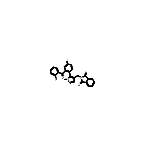 Cn1ncc(CN2C(=O)c3ccccc3C2=O)c1-c1ccc(Cl)cc1C(=O)c1ccccc1F